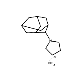 N[C@H]1CCN(C2C3CC4CC(C3)CC2C4)C1